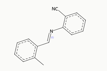 Cc1ccccc1/C=N/c1ccccc1C#N